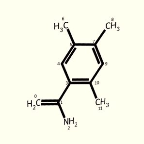 C=C(N)c1cc(C)c(C)cc1C